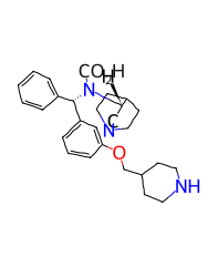 O=C(O)N([C@@H](c1ccccc1)c1cccc(OCC2CCNCC2)c1)[C@H]1CN2CCC1CC2